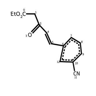 CCOC(=O)CC(=O)C=Cc1cccc(C#N)c1